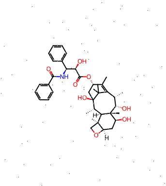 CC1=C2[C@H](C)[C@H](O)[C@@]3(C)[C@H]([C@H](C)[C@](O)(C[C@@H]1OC(=O)[C@H](O)[C@@H](NC(=O)c1ccccc1)c1ccccc1)C2(C)C)[C@]1(C)CO[C@@H]1C[C@@H]3O